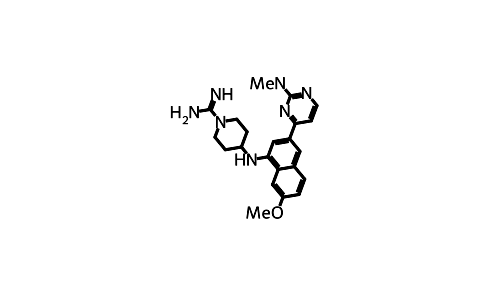 CNc1nccc(-c2cc(NC3CCN(C(=N)N)CC3)c3cc(OC)ccc3c2)n1